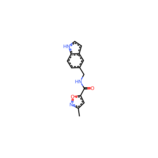 Cc1cc(C(=O)NCc2ccc3[nH]ccc3c2)on1